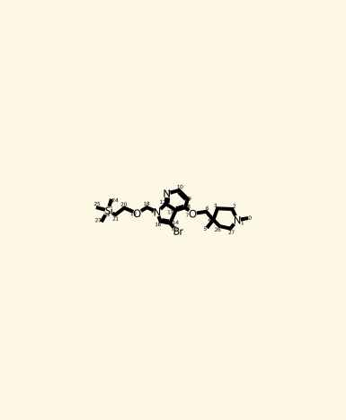 CN1CCC(C)(COc2ccnc3c2c(Br)cn3COCC[Si](C)(C)C)CC1